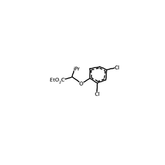 CCOC(=O)C(Oc1ccc(Cl)cc1Cl)C(C)C